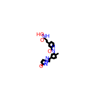 COc1ccc2nc(-c3ccc(C)c(NC(=O)c4cccc(C=CC(=O)NO)c4)c3)cn2n1